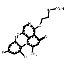 Cc1cc(=O)c2c(OCCNC(=O)O)ncc(Cl)c2n1-c1c(Cl)cc(F)cc1Cl